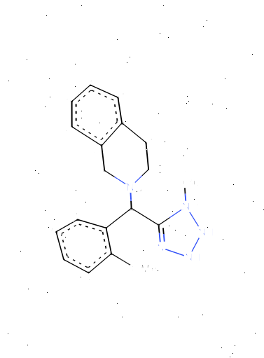 COc1ccccc1C(C1=NNNN1C(C)(C)C)N1CCc2ccccc2C1